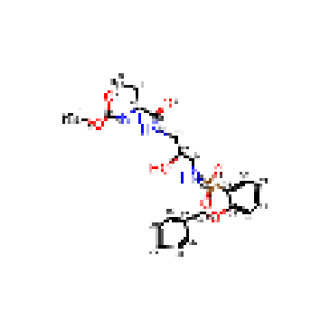 CC(C)C[C@H](NC(=O)OC(C)(C)C)C(=O)NCC(O)CNS(=O)(=O)c1ccccc1OCc1ccccc1